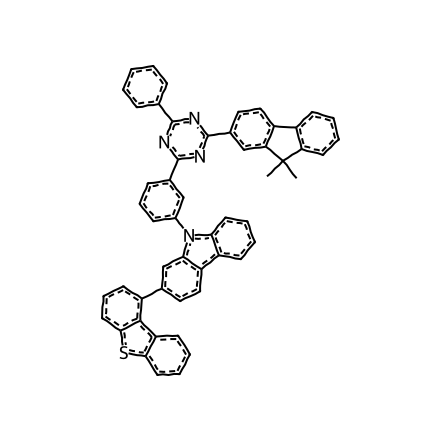 CC1(C)c2ccccc2-c2ccc(-c3nc(-c4ccccc4)nc(-c4cccc(-n5c6ccccc6c6ccc(-c7cccc8sc9ccccc9c78)cc65)c4)n3)cc21